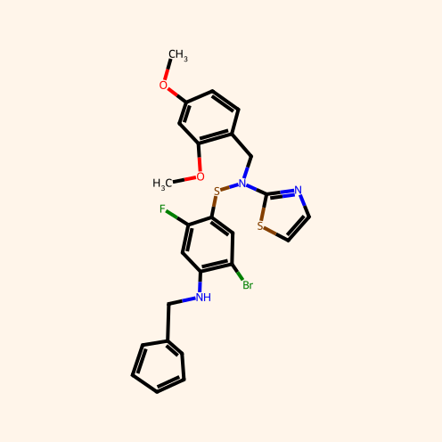 COc1ccc(CN(Sc2cc(Br)c(NCc3ccccc3)cc2F)c2nccs2)c(OC)c1